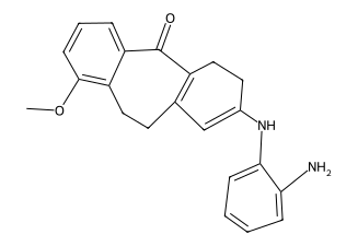 COc1cccc2c1CCC1=C(CCC(Nc3ccccc3N)=C1)C2=O